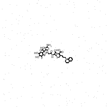 Nc1nc(C(ON=CC(=O)NC2C(=O)N3C(C(=O)O)=C(C=CC[n+]4cccc5ccccc54)CSC23)(C(=O)O)c2cc(O)c(O)c(F)c2F)cs1